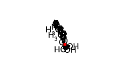 C[C@]12CC[C@H](OC(=O)c3cc(O)c(O)c(O)c3)CC1=CCC1C2CC[C@]2(C)C(n3cnc4ccccc43)=CCC12